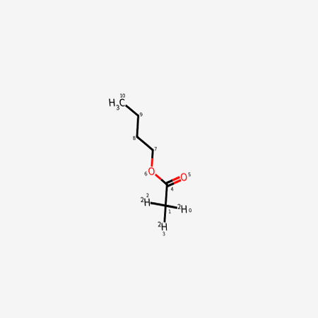 [2H]C([2H])([2H])C(=O)OCCCC